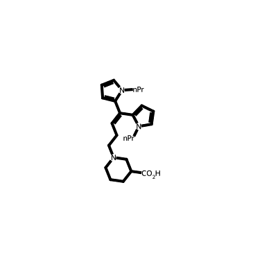 CCCn1cccc1C(=CCCN1CCCC(C(=O)O)C1)c1cccn1CCC